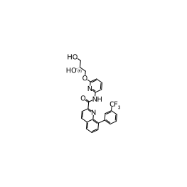 O=C(Nc1cccc(OC[C@H](O)CO)n1)c1ccc2cccc(-c3cccc(C(F)(F)F)c3)c2n1